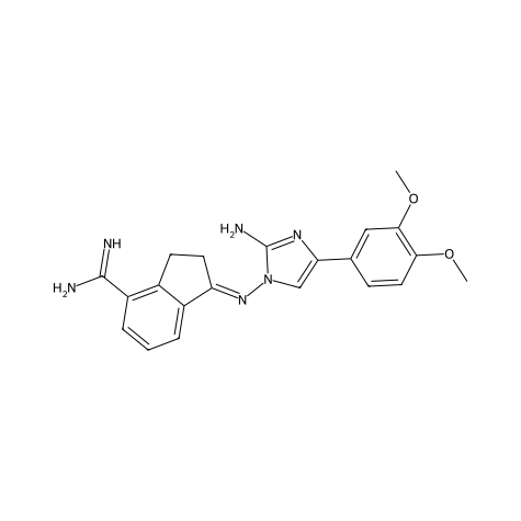 COc1ccc(-c2cn(N=C3CCc4c(C(=N)N)cccc43)c(N)n2)cc1OC